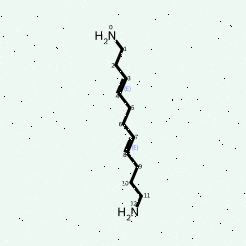 NCC/C=C/CC/C=C/CCCN